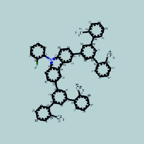 Fc1ccccc1-n1c2ccc(-c3cc(-c4ccccc4C(F)(F)F)cc(-c4ccccc4C(F)(F)F)c3)cc2c2cc(-c3cc(-c4ccccc4C(F)(F)F)cc(-c4ccccc4C(F)(F)F)c3)ccc21